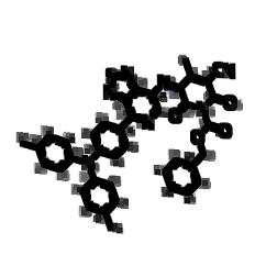 CC1=C(C#N)C(=O)N(C(=O)OCc2ccccc2)C(=O)/C1=N\c1cnc(-c2ccc(N(c3ccc(C)cc3)c3ccc(C)cc3)cc2)c2nsnc12